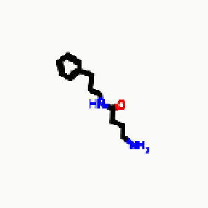 NCCCC(=O)NCCCc1ccccc1